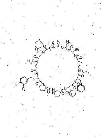 CC[C@H](C)[C@@H]1NC(=O)CCN(C)C(=O)[C@@H](Cc2ccccc2)N(C)C(=O)[C@H](C2CCCC2)N(C)C(=O)C2(CCCC2)NC(=O)[C@@H]2CCCN2C(=O)[C@H](CCc2ccc(C(F)(F)F)c(Cl)c2)NC(=O)CN(C)C(=O)[C@H](CC2CCCCC2)N(C)C(=O)CN(C)C(=O)CN(C)C1=O